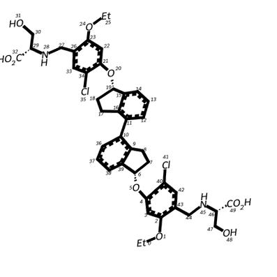 CCOc1cc(O[C@H]2CCc3c(-c4cccc5c4CC[C@@H]5Oc4cc(OCC)c(CN[C@@H](CO)C(=O)O)cc4Cl)cccc32)c(Cl)cc1CN[C@@H](CO)C(=O)O